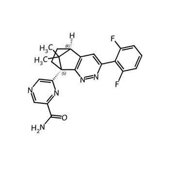 CC1(C)[C@H]2CC[C@]1(c1cncc(C(N)=O)n1)c1nnc(-c3c(F)cccc3F)cc12